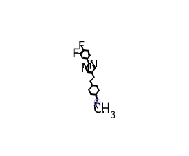 C/C=C/C1CCC(CCc2cnc(-c3ccc(F)c(F)c3)nc2)CC1